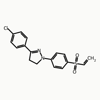 C=CS(=O)(=O)c1ccc(N2CCC(c3ccc(Cl)cc3)=N2)cc1